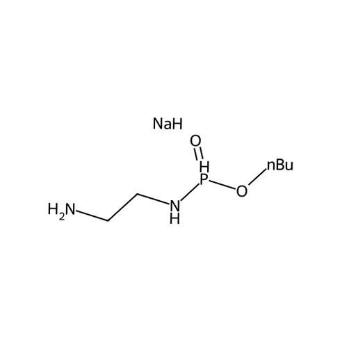 CCCCO[PH](=O)NCCN.[NaH]